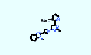 COc1cccnc1-c1cc(N2CC(c3nc4ccccc4n3C)C2)nc(C)n1